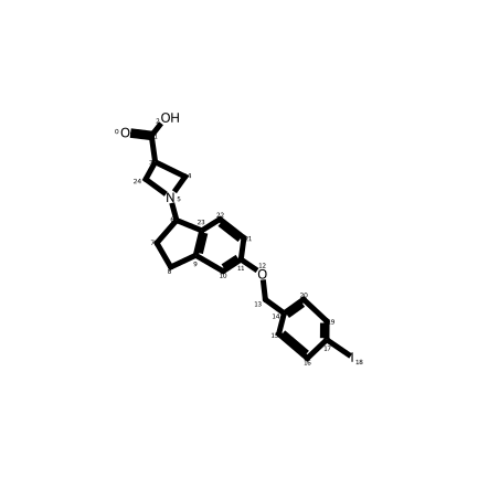 O=C(O)C1CN(C2CCc3cc(OCc4ccc(I)cc4)ccc32)C1